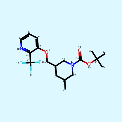 CC1CC(COc2cccnc2C(F)(F)F)CN(C(=O)OC(C)(C)C)C1